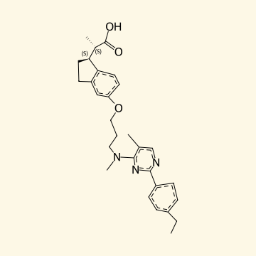 CCc1ccc(-c2ncc(C)c(N(C)CCCOc3ccc4c(c3)CC[C@H]4[C@H](C)C(=O)O)n2)cc1